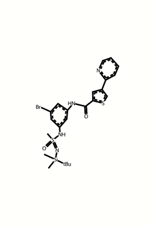 CC(C)(C)[Si](C)(C)N=S(C)(=O)Nc1cc(Br)cc(NC(=O)c2cc(-c3ccccn3)cs2)c1